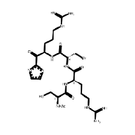 CC(=O)N[C@@H](CO)C(=O)N[C@H](CCCNC(=N)N)C(=O)N[C@@H](CC(C)C)C(=O)NC(CCCNC(=N)N)C(=O)c1nccs1